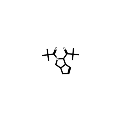 CC(C)(C)C(=O)C1C2C=CCC2CN1C(=O)C(C)(C)C